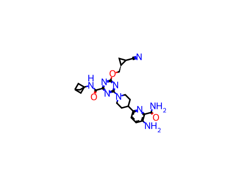 N#CC1C[C@@H]1COc1nc(C(=O)NC23CC(C2)C3)nc(N2CCC(c3ccc(N)c(C(N)=O)n3)CC2)n1